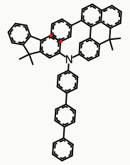 CC1(C)c2ccccc2-c2ccc(N(c3ccc(-c4ccc(-c5ccccc5)cc4)cc3)c3ccc4c(c3)-c3c(-c5ccccc5)ccc5cccc(c35)C4(C)C)cc21